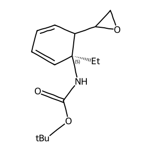 CC[C@]1(NC(=O)OC(C)(C)C)C=CC=CC1C1CO1